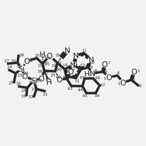 CC(=O)OCOC(=O)Nc1ncnn2c([C@]3(C#N)O[C@@H]4CO[Si](C(C)C)(C(C)C)O[Si](C(C)C)(C(C)C)O[C@H]4[C@H]3OC(=O)CC3CCCCC3)ccc12